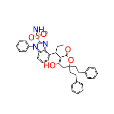 CCC(C1=C(O)CC(CCc2ccccc2)(CCc2ccccc2)OC1=O)c1cccc2c1nc(S(N)(=O)=O)n2-c1ccccc1